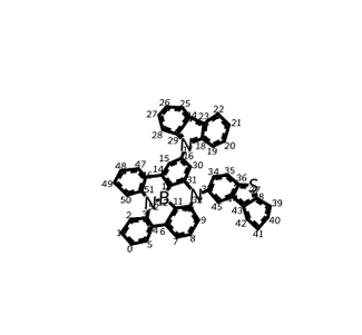 c1ccc2c(c1)-c1cccc3c1B1c4c(cc(-n5c6ccccc6c6ccccc65)cc4N3c3ccc4sc5ccccc5c4c3)-c3ccccc3N12